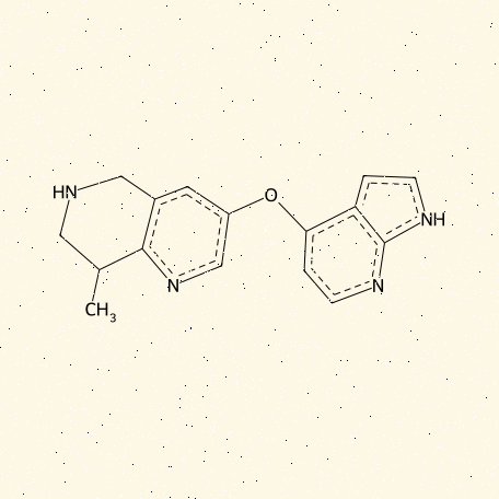 CC1CNCc2cc(Oc3ccnc4[nH]ccc34)cnc21